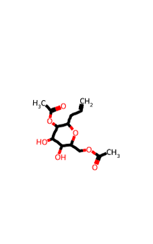 C=CCC1OC(COC(C)=O)C(O)C(O)C1OC(C)=O